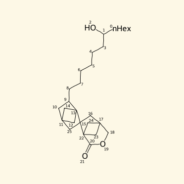 CCCCCCC(O)CCCCCCC1CC23CC1(C2)C1(CC24COC(=O)C1(C2)C4)C3